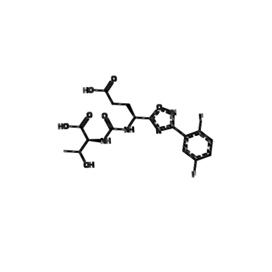 CC(O)[C@H](NC(=O)N[C@@H](CCC(=O)O)c1nc(-c2cc(F)ccc2F)no1)C(=O)O